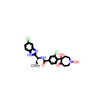 COC[C@H](NC(=O)c1ccc(C2(O)CCN(O)CCC2=O)c(Cl)c1)c1nc2cc(Cl)ccc2[nH]1